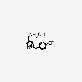 Cl.NCc1cnn(Cc2ccc(C(F)(F)F)nc2)c1